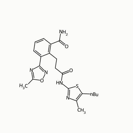 CCCCc1sc(NC(=O)CCc2c(C(N)=O)cccc2-c2noc(C)n2)nc1C